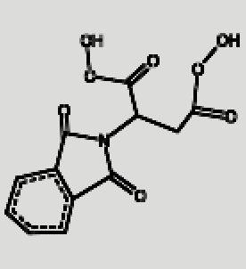 O=C(CC(C(=O)OO)N1C(=O)c2ccccc2C1=O)OO